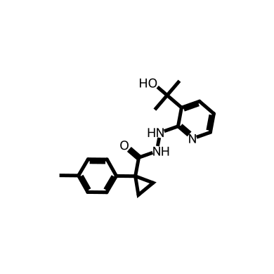 Cc1ccc(C2(C(=O)NNc3ncccc3C(C)(C)O)CC2)cc1